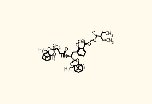 CCC(CC)C(=O)OCOC(=O)c1cccc(CC(NC(=O)CCC2(C)OC3CC4CC(C4(C)C)C3(C)O2)B2OC3CC4CC(C4(C)C)C3(C)O2)c1OC